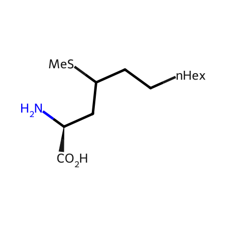 CCCCCCCCC(C[C@H](N)C(=O)O)SC